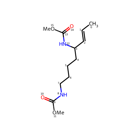 CC=CC(CCCCNC(=O)OC)NC(=O)OC